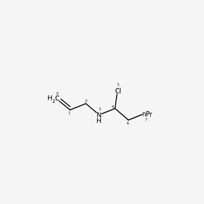 C=CCNC(Cl)CCCC